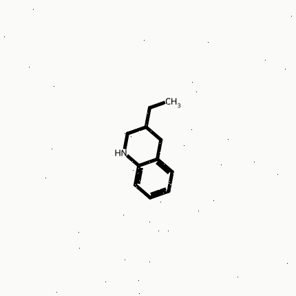 CCC1[CH]Nc2ccccc2C1